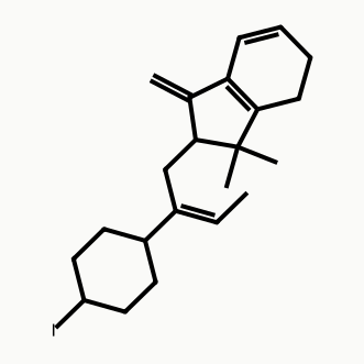 C=C1C2=C(CCC=C2)C(C)(C)C1C/C(=C\C)C1CCC(I)CC1